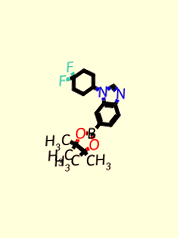 CC1(C)OB(c2ccc3ncn(C4CCC(F)(F)CC4)c3c2)OC1(C)C